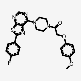 COc1ccc(OCC(=O)N2CCN(c3ncnc4sc(-c5ccc(F)cc5)nc34)CC2)cc1